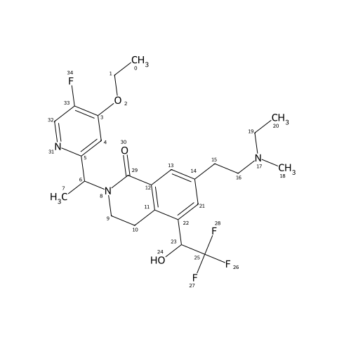 CCOc1cc(C(C)N2CCc3c(cc(CCN(C)CC)cc3C(O)C(F)(F)F)C2=O)ncc1F